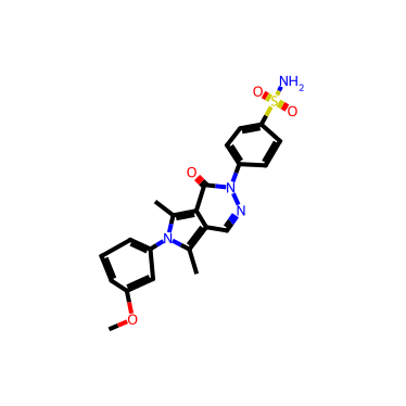 COc1cccc(-n2c(C)c3cnn(-c4ccc(S(N)(=O)=O)cc4)c(=O)c3c2C)c1